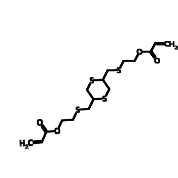 C=CC(=O)OCCSCC1CSC(CSCCOC(=O)C=C)CS1